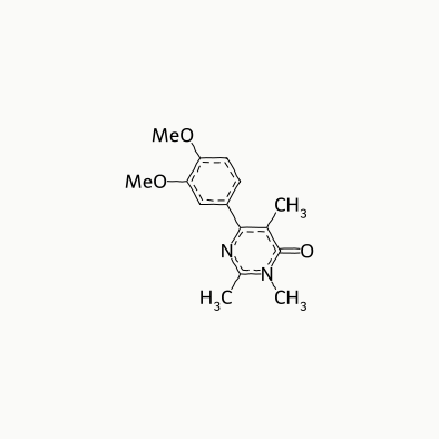 COc1ccc(-c2nc(C)n(C)c(=O)c2C)cc1OC